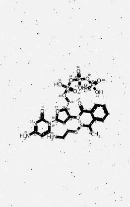 CC(SSCCN)c1ccccc1C(=O)OC1C[C@H](n2ccc(N)nc2=O)O[C@@H]1COP(=O)(O)OP(=O)(O)OP(=O)(O)O